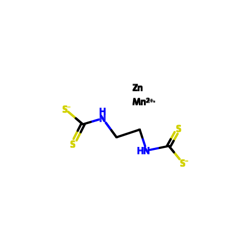 S=C([S-])NCCNC(=S)[S-].[Mn+2].[Zn]